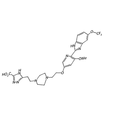 COc1cc(OCCN2CCN(CCc3nnc(C(=O)O)[nH]3)CC2)cnc1-c1nc2cc(OC(F)(F)F)ccc2[nH]1